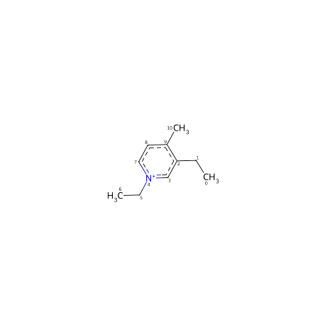 CCc1c[n+](CC)ccc1C